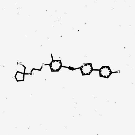 Cc1cc(C#Cc2ccc(-c3ccc(Cl)cc3)cn2)ccc1OCCNC1(CO)CCCC1